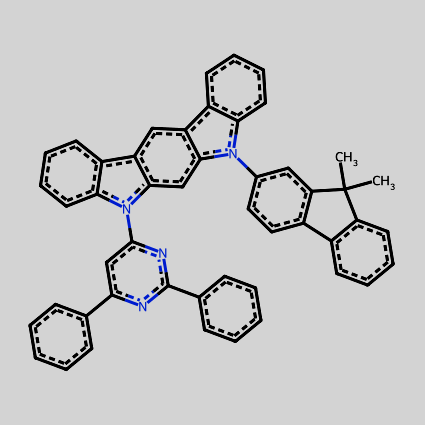 CC1(C)c2ccccc2-c2ccc(-n3c4ccccc4c4cc5c6ccccc6n(-c6cc(-c7ccccc7)nc(-c7ccccc7)n6)c5cc43)cc21